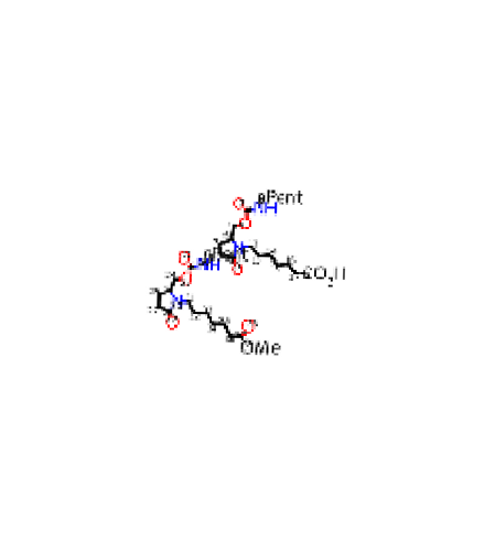 CCCCCNC(=O)OCC1CCC(=O)N1CCCCCCC(=O)O.CCCCCNC(=O)OCC1CCC(=O)N1CCCCCCC(=O)OC